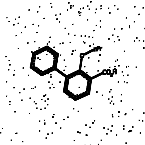 CCCOc1c(C(=O)O)cccc1-c1ccccc1